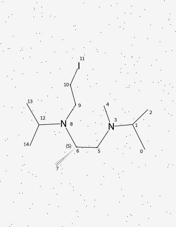 CC(C)N(C)C[C@H](C)N(CCI)C(C)C